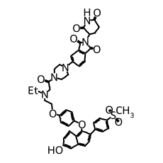 CCN(CCOc1ccc(Oc2c(-c3ccc(S(C)(=O)=O)cc3)ccc3cc(O)ccc23)cc1)CC(=O)N1CCN(c2ccc3c(c2)C(=O)N(C2CCC(=O)NC2=O)C3=O)CC1